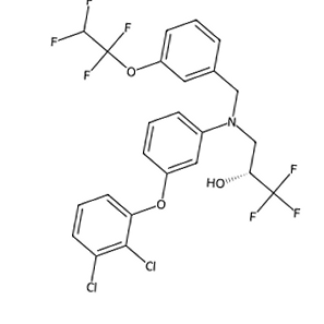 O[C@H](CN(Cc1cccc(OC(F)(F)C(F)F)c1)c1cccc(Oc2cccc(Cl)c2Cl)c1)C(F)(F)F